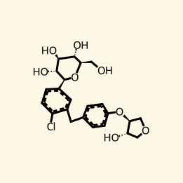 OC[C@H]1O[C@@H](c2ccc(Cl)c(Cc3ccc(O[C@H]4COC[C@@H]4O)cc3)c2)[C@H](O)[C@@H](O)[C@@H]1O